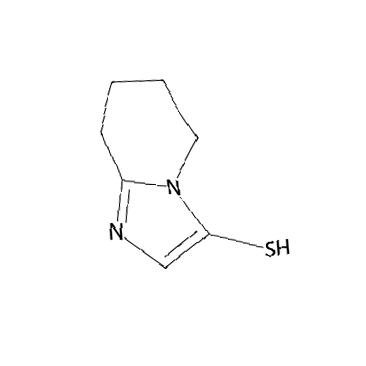 Sc1cnc2n1CCCC2